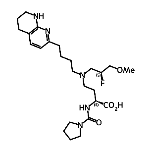 COC[C@@H](F)CN(CCCCc1ccc2c(n1)NCCC2)CC[C@H](NC(=O)N1CCCC1)C(=O)O